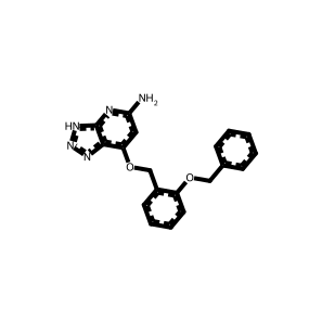 Nc1cc(OCc2ccccc2OCc2ccccc2)c2nn[nH]c2n1